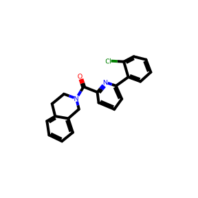 O=C(c1cccc(-c2ccccc2Cl)n1)N1CCc2ccccc2C1